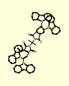 C=CC1=C(C=C(n2c3ccccc3c3ccccc32)n2c3ccccc3c3ccccc32)C(=O)N(C(C)(C)N2C(=O)c3cc(-n4c5ccccc5c5ccccc54)c(-n4c5ccccc5c5ccccc54)cc3C2=O)C1=O